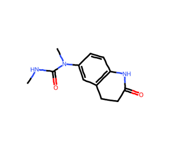 CNC(=O)N(C)c1ccc2c(c1)CCC(=O)N2